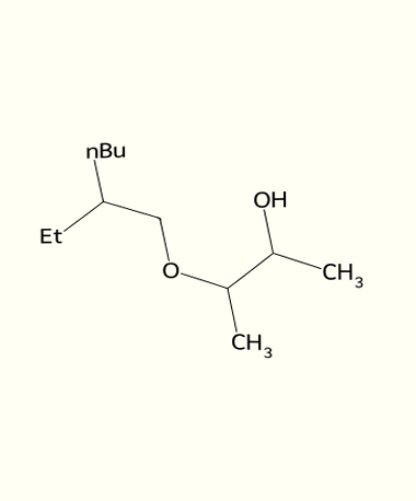 CCCCC(CC)COC(C)C(C)O